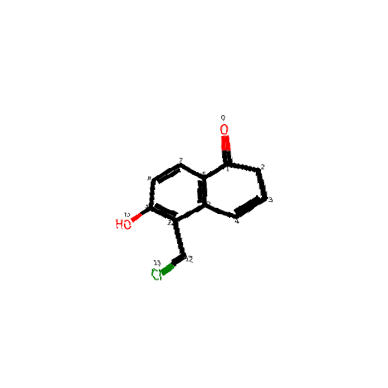 O=C1CC=Cc2c1ccc(O)c2CCl